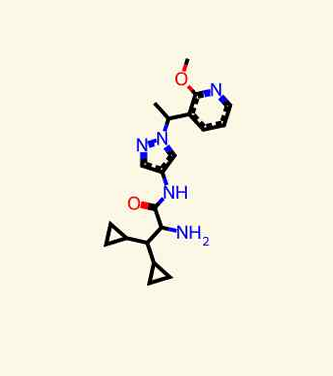 COc1ncccc1C(C)n1cc(NC(=O)C(N)C(C2CC2)C2CC2)cn1